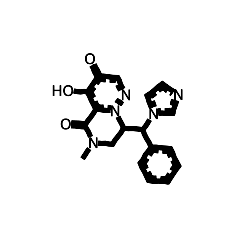 CN1CC(C(c2ccccc2)n2ccnc2)n2ncc(=O)c(O)c2C1=O